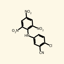 N#Cc1cc(Nc2c([N+](=O)[O-])cc([N+](=O)[O-])cc2[N+](=O)[O-])ccc1Cl